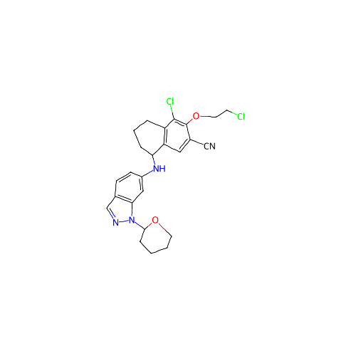 N#Cc1cc2c(c(Cl)c1OCCCl)CCCC2Nc1ccc2cnn(C3CCCCO3)c2c1